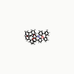 c1ccc(-c2ccccc2N(c2ccc3c(c2)-c2ccccc2-c2ccccc2C32c3ccccc3-c3ccccc32)c2cccc3c2Oc2ccccc2-c2ccccc2-3)cc1